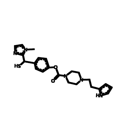 Cn1ccnc1C(S)c1ccc(OC(=O)N2CCN(CCc3ccc[nH]3)CC2)cc1